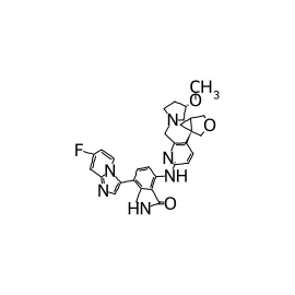 CO[C@H]1CCN(Cc2nc(Nc3ccc(-c4cnc5cc(F)ccn45)c4c3C(=O)NC4)ccc2[C@]23COCC2C3)C1